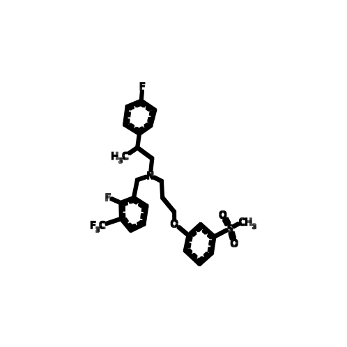 CC(CN(CCCOc1cccc(S(C)(=O)=O)c1)Cc1cccc(C(F)(F)F)c1F)c1ccc(F)cc1